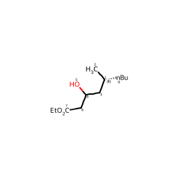 CCCC[C@@H](C)CC(O)CC(=O)OCC